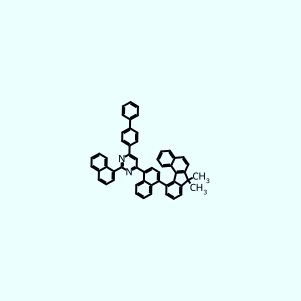 CC1(C)c2cccc(-c3ccc(-c4cc(-c5ccc(-c6ccccc6)cc5)nc(-c5cccc6ccccc56)n4)c4ccccc34)c2-c2c1ccc1ccccc21